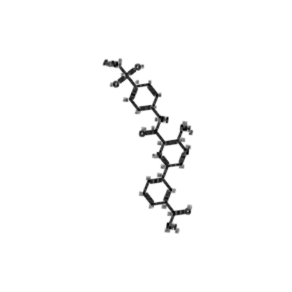 CC(=O)NS(=O)(=O)c1ccc(NC(=O)c2nc(-c3cccc(C(N)=O)c3)cnc2N)cc1